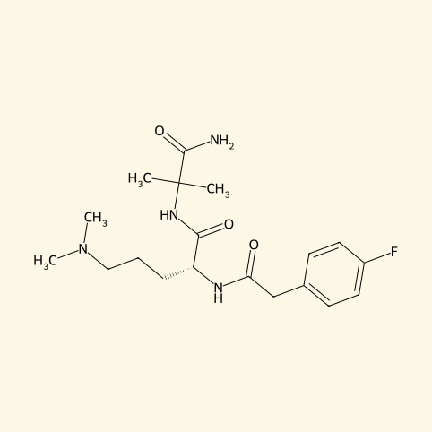 CN(C)CCC[C@@H](NC(=O)Cc1ccc(F)cc1)C(=O)NC(C)(C)C(N)=O